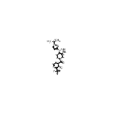 CC(C)n1ccc(N2NNC3=C2CCN(C(=O)c2ccnc(C(F)(F)F)c2Cl)C3)n1